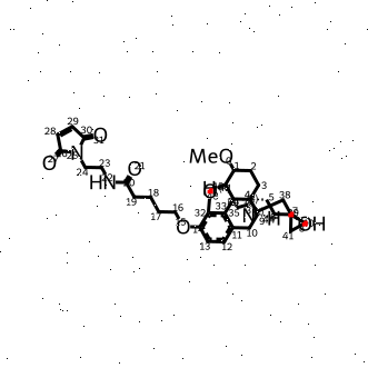 COC1CC[C@@]2(CCCO)[C@H]3Cc4ccc(OCCCCC(=O)NCCN5C(=O)C=CC5=O)c5c4[C@@]2(CCN3CC2CC2)[C@H]1O5